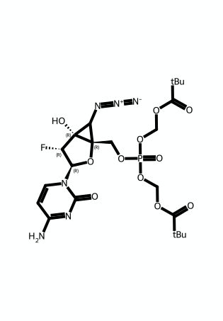 CC(C)(C)C(=O)OCOP(=O)(OCOC(=O)C(C)(C)C)OC[C@@]12O[C@@H](n3ccc(N)nc3=O)[C@H](F)[C@@]1(O)C2N=[N+]=[N-]